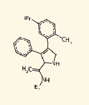 C=C(NCC)C1NCC(c2cc(C(C)C)ccc2C)=C1c1ccccc1